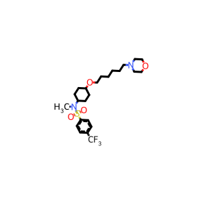 CN(C1CCC(OCCCCCCN2CCOCC2)CC1)S(=O)(=O)c1ccc(C(F)(F)F)cc1